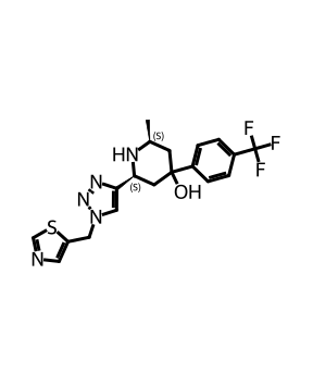 C[C@H]1CC(O)(c2ccc(C(F)(F)F)cc2)C[C@@H](c2cn(Cc3cncs3)nn2)N1